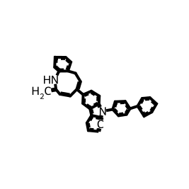 C=C1/C=C\C(c2ccc3c(c2)c2ccccc2n3-c2ccc(-c3ccccc3)cc2)=C/Cc2ccccc2N1